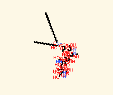 CCCCCCCCCCCCC/C=C/[C@@H](O)[C@H](CO[C@@H]1OC(CO)[C@@H](O[C@@H]2OC(CO)[C@H](O)[C@H](O[C@@H]3OC(CO)[C@@H](O[C@@H]4OC(CO)[C@H](O)[C@H](O[C@]5(C(=O)O)CC(O)[C@@H](NC(=O)CO)C([C@H](O)[C@@H](CO)O[C@]6(C(=O)O)CC(O)[C@@H](NC(=O)CO)C([C@H](O)[C@H](O)CO)O6)O5)C4O)[C@H](O)C3NC(C)=O)C2O)[C@H](O)C1O)NC(=O)CCCCCCCCCCCCCCCCCCCCC